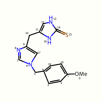 COc1ccc(Cn2cnc(Cc3c[nH]c(=S)[nH]3)c2)cc1